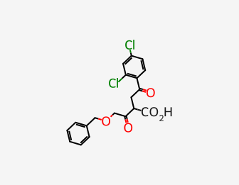 O=C(CC(C(=O)O)C(=O)COCc1ccccc1)c1ccc(Cl)cc1Cl